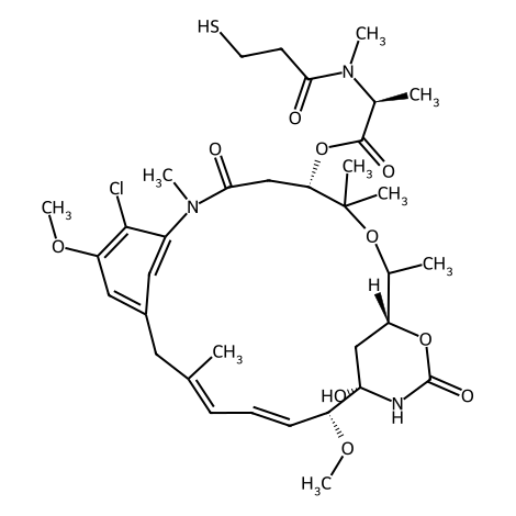 COc1cc2cc(c1Cl)N(C)C(=O)C[C@H](OC(=O)[C@H](C)N(C)C(=O)CCS)C(C)(C)OC(C)[C@H]1C[C@@](O)(NC(=O)O1)[C@H](OC)/C=C/C=C(\C)C2